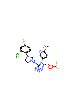 COc1ccc(-n2c(COC(F)F)nnc2N2CCC(c3ccc(F)cc3Cl)C2)cn1